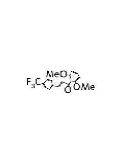 COc1cccc(OC)c1C(=O)/C=C/c1ccc(C(F)(F)F)cc1